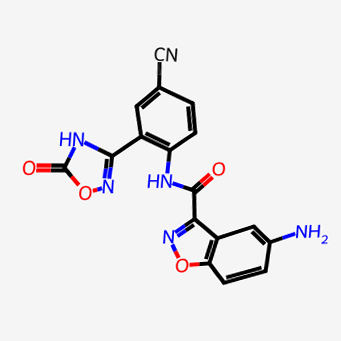 N#Cc1ccc(NC(=O)c2noc3ccc(N)cc23)c(-c2noc(=O)[nH]2)c1